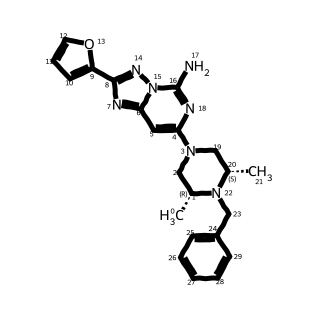 C[C@@H]1CN(c2cc3nc(-c4ccco4)nn3c(N)n2)C[C@H](C)N1Cc1ccccc1